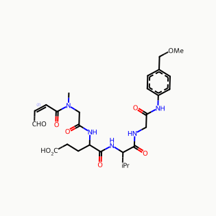 COCc1ccc(NC(=O)CNC(=O)C(NC(=O)C(CCC(=O)O)NC(=O)CN(C)C(=O)/C=C\C=O)C(C)C)cc1